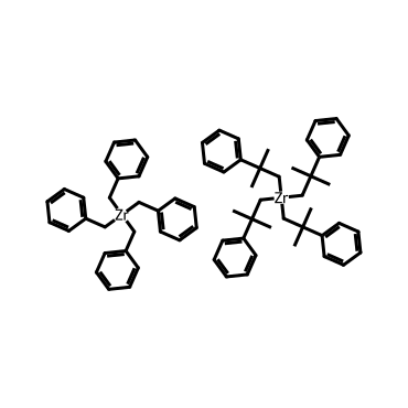 CC(C)([CH2][Zr]([CH2]C(C)(C)c1ccccc1)([CH2]C(C)(C)c1ccccc1)[CH2]C(C)(C)c1ccccc1)c1ccccc1.c1ccc([CH2][Zr]([CH2]c2ccccc2)([CH2]c2ccccc2)[CH2]c2ccccc2)cc1